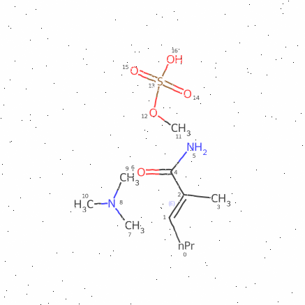 CCC/C=C(\C)C(N)=O.CN(C)C.COS(=O)(=O)O